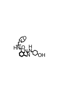 CC(C)(CN1CCOCC1)NC(=O)c1cccc2cnc(NC3CCC(O)CC3)nc12